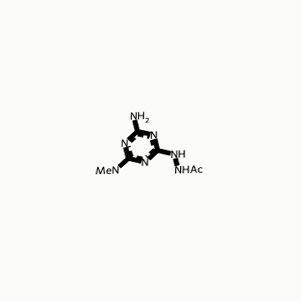 CNc1nc(N)nc(NNC(C)=O)n1